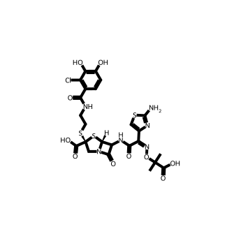 CC(C)(O/N=C(\C(=O)NC1C(=O)N2C[C@](SCCNC(=O)c3ccc(O)c(O)c3Cl)(C(=O)O)S[C@H]12)c1csc(N)n1)C(=O)O